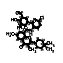 Cc1cc([C@@H](C)Nc2ccc(Cl)nc2-c2cc(F)c(O)c(C=O)c2)c2oc(N3CCC(C)(C)CC3)c(C)c(=O)c2c1